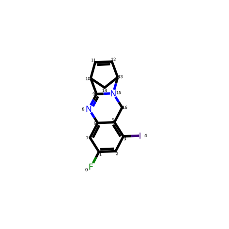 Fc1cc(I)c2c(c1)N=C1C3C=CC(C3)N1C2